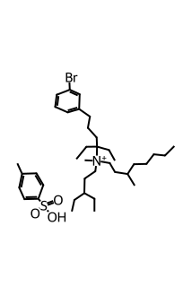 CCCCCC(C)CC[N+](C)(CCC(CC)CC)C(CC)(CC)CCCc1cccc(Br)c1.Cc1ccc(S(=O)(=O)O)cc1